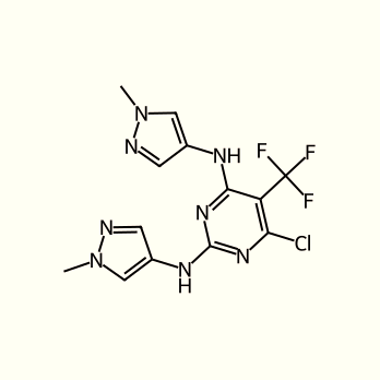 Cn1cc(Nc2nc(Cl)c(C(F)(F)F)c(Nc3cnn(C)c3)n2)cn1